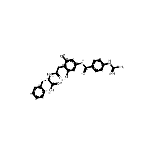 N=C(N)Nc1ccc(C(=O)Oc2cc(Cl)c(CC(=O)N[C@@H](Cc3ccccc3)C(=O)O)c(Cl)c2)cc1